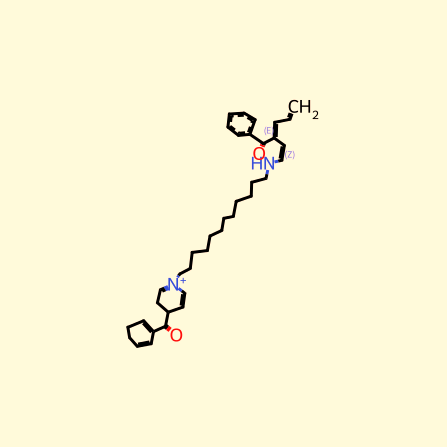 C=C/C=C(\C=C/NCCCCCCCCCCCC[N+]1=CCC(C(=O)C2=CCCC=C2)C=C1)C(=O)c1ccccc1